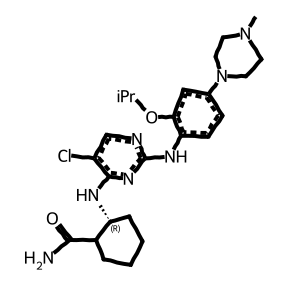 CC(C)Oc1cc(N2CCN(C)CC2)ccc1Nc1ncc(Cl)c(N[C@@H]2CCCCC2C(N)=O)n1